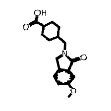 COc1ccc2c(c1)C(=O)N(CC1CCC(C(=O)O)CC1)C2